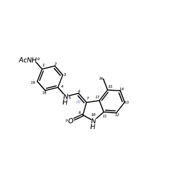 CC(=O)Nc1ccc(N/C=C2\C(=O)Nc3cccc(C)c32)cc1